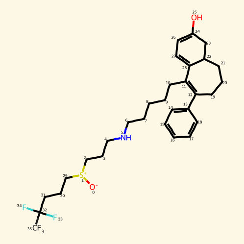 [O-][S+](CCCNCCCCCC1=C(c2ccccc2)CCCC2CC(O)=CC=C12)CCCC(F)(F)C(F)(F)F